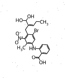 CCC=C(Cc1c(Br)cc(Nc2ccccc2C(=O)O)c(C)c1[N+](=O)[O-])C(O)O